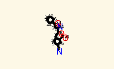 COC(=O)c1cc(C#N)ccc1C=Cc1cc(-c2ccccc2)on1